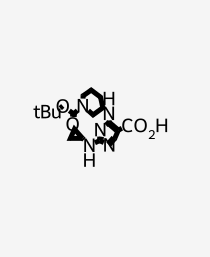 CC(C)(C)OC(=O)N1CCC[C@H](Nc2nc(NC3CC3)ncc2C(=O)O)C1